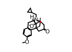 COc1ccc2c(c1)[C@]13CCN(CC4CC4)[C@H](C2)[C@]1(OC)[C@@H](C)CC(=O)C3